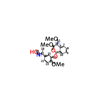 CO/C=C(\C(=O)OC)c1ccccc1COc1cc(/C(C)=N/O)ccc1OC